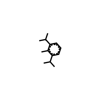 C[C](C)c1cccc(C(C)C)c1C